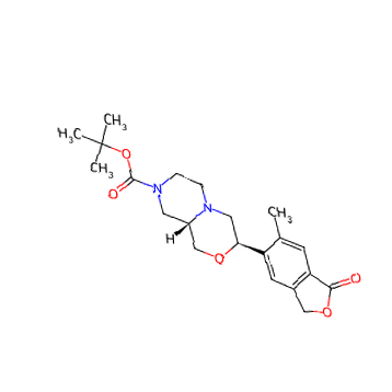 Cc1cc2c(cc1[C@@H]1CN3CCN(C(=O)OC(C)(C)C)C[C@H]3CO1)COC2=O